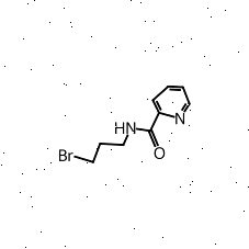 O=C(NCCCBr)c1ccccn1